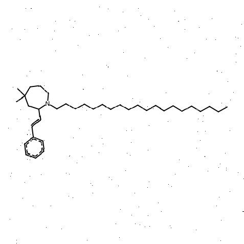 CCCCCCCCCCCCCCCCCCCCN1CCCC(C)(C)CC1C=Cc1ccccc1